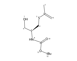 C=C(C)SC[C@H](CO)NC(=O)OC(C)(C)C